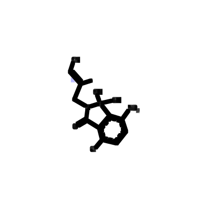 C/C(=C\C#N)CN1C(=O)c2c(Cl)ccc([N+](=O)[O-])c2S1(O)O